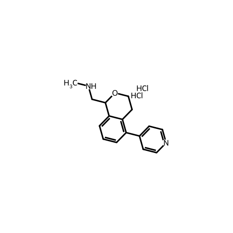 CNCC1OCCc2c(-c3ccncc3)cccc21.Cl.Cl